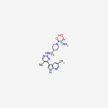 C[C@@H](Nc1ncc(C#N)c(-c2c[nH]c3ncc(C(F)(F)F)cc23)n1)C1CCN(C(=O)[C@@H](N)[C@@H](C)O)CC1